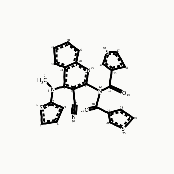 CN(c1cccs1)c1c(C#N)c(N(C(=O)c2ccsc2)C(=O)c2ccsc2)nc2ccccc12